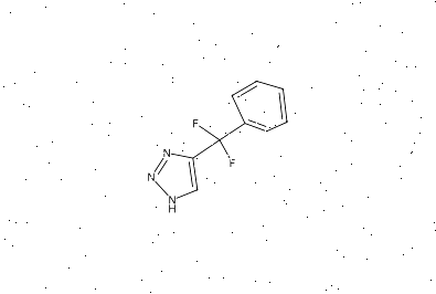 FC(F)(c1ccccc1)c1c[nH]nn1